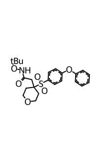 CC(C)(C)ONC(=O)CC1(S(=O)(=O)c2ccc(Oc3ccccc3)cc2)CCOCC1